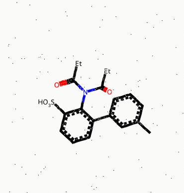 CCC(=O)N(C(=O)CC)c1c(-c2cccc(C)c2)cccc1S(=O)(=O)O